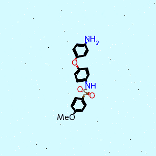 COc1ccc(S(=O)(=O)Nc2ccc(Oc3ccc(N)cc3)cc2)cc1